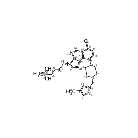 Cc1cnn(CC2CCC(n3ccc(=O)c4cnc5c(ccn5COCC[Si](C)(C)C)c43)CC2)c1